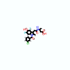 Cc1c(CC(=O)NC(C)CC(=O)O)c2c(F)c(O)c(F)cc2n1C(=O)c1cccc(Cl)c1